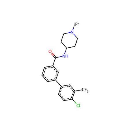 CC(C)N1CCC(NC(=O)c2cccc(-c3ccc(Cl)c(C(F)(F)F)c3)c2)CC1